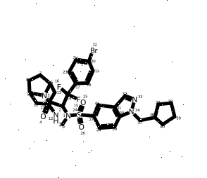 CN(C(C(=O)N1C2CCC1CC(N)C2)C(F)(F)c1ccc(Br)cc1)S(=O)(=O)c1ccc2c(cnn2CC2CCCC2)c1